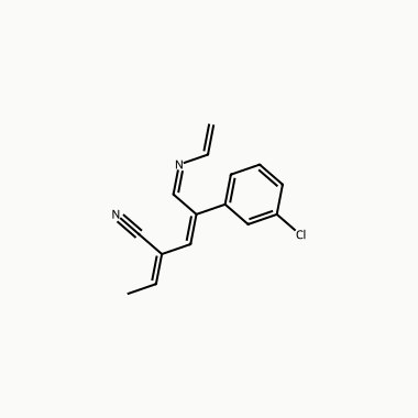 C=C\N=C/C(=C\C(C#N)=C\C)c1cccc(Cl)c1